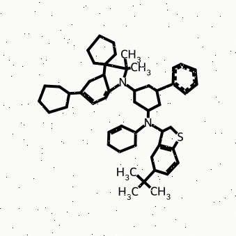 CC(C)(C)C1C=CC2=C(C1)C(N(C1C=CCCC1)C1CC(c3ccccc3)CC(N3C4=CC=C(C5CCCCC5)CC4C4(CCCCC4)C3(C)C)C1)CS2